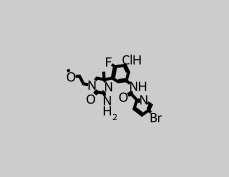 COCCN1CC(C)(c2cc(NC(=O)c3ccc(Br)cn3)ccc2F)N=C(N)C1=O.Cl